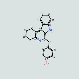 Brc1ccc(Cc2nc3c(c4c2[nH]c2ccccc24)CCCC3)cc1